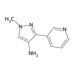 Cn1cc(N)c(-c2cccnc2)n1